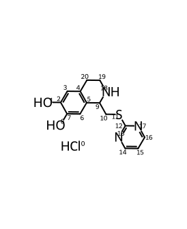 Cl.Oc1cc2c(cc1O)C(CSc1ncccn1)NCC2